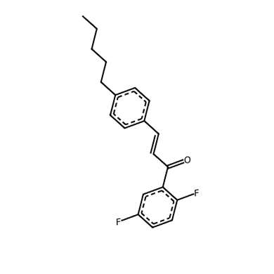 CCCCCc1ccc(C=CC(=O)c2cc(F)ccc2F)cc1